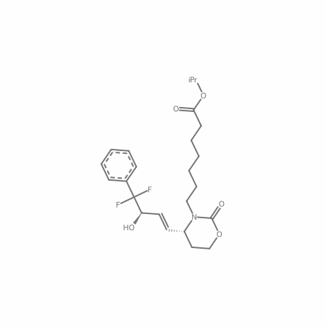 CC(C)OC(=O)CCCCCCN1C(=O)OCC[C@@H]1C=C[C@@H](O)C(F)(F)c1ccccc1